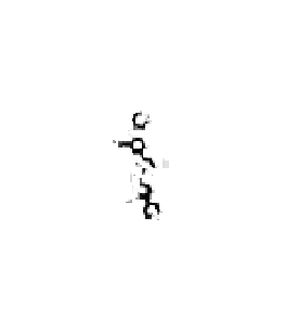 COc1nc(Nc2nccc(-c3ccc(OC4CCOCC4)c(C#N)c3)n2)ccc1C1CCNCC1.Cl